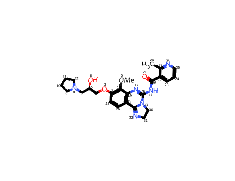 COc1c(OC[C@H](O)CN2CCCC2)ccc2c1N=C(NC(=O)c1cccnc1C)N1CCN=C21